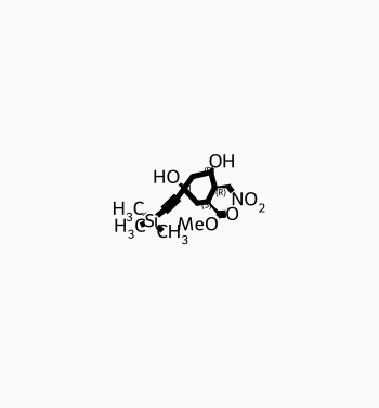 COC(=O)[C@H]1C[C@](O)(C#C[Si](C)(C)C)C[C@@H](O)[C@H]1C[N+](=O)[O-]